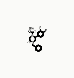 C[C@@H]1CN(C(=O)OC(C)(C)C)C(c2ccc(F)c(F)c2)CN1Cc1ccccc1